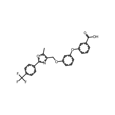 Cc1oc(-c2ccc(C(F)(F)F)cc2)nc1COc1cccc(Oc2cccc(C(=O)O)c2)c1